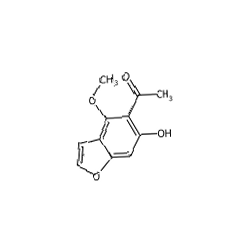 COc1c(C(C)=O)c(O)cc2occc12